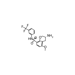 COc1ccc(S(=O)(=O)Nc2cccc(C(F)(F)F)c2)c2c1C[C@@H](N)CO2